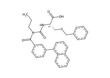 CCCN(C(=O)N[C@@H](CSCc1ccccc1)C(=O)O)C(=O)c1cccc(-c2cccc3ccccc23)c1